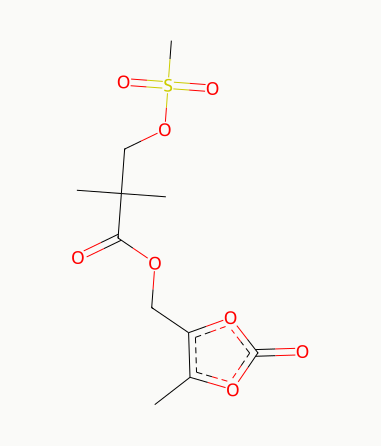 Cc1oc(=O)oc1COC(=O)C(C)(C)COS(C)(=O)=O